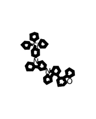 c1ccc([Si](c2ccccc2)(c2ccccc2)c2ccc(-n3c4ccccc4c4cc(-n5c6ccccc6c6c(-c7cccc8oc9ccccc9c78)cccc65)ccc43)cc2)cc1